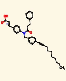 CCCCCCCCC#Cc1ccc(CN(C(=O)CCc2ccccc2)c2ccc(/C=C/C(=O)O)cc2)cc1